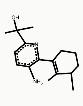 CC1=C(c2nc(C(C)(C)O)ccc2N)CCCC1C